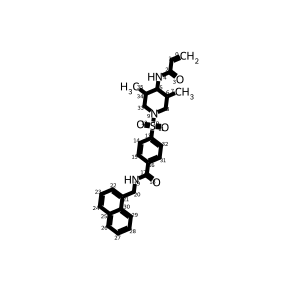 C=CC(=O)NC1C(C)CN(S(=O)(=O)c2ccc(C(=O)NCc3cccc4ccccc34)cc2)CC1C